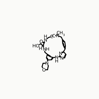 CN1CCCNC(=O)[C@H](CO)NCc2cc(cc(N3CCOCC3)c2)Nc2nccc(n2)-c2ccc(cc2)C1